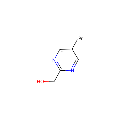 CC(C)c1cnc(CO)nc1